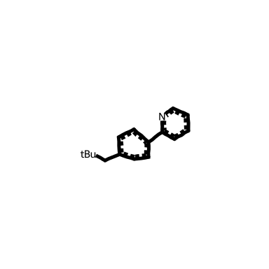 CC(C)(C)Cc1ccc(-c2ccccn2)cc1